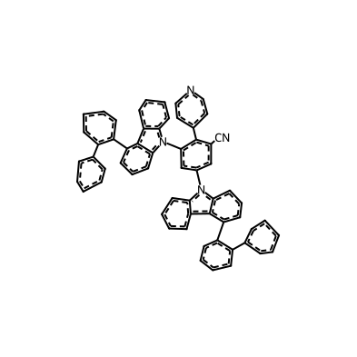 N#Cc1cc(-n2c3ccccc3c3c(-c4ccccc4-c4ccccc4)cccc32)cc(-n2c3ccccc3c3c(-c4ccccc4-c4ccccc4)cccc32)c1-c1ccncc1